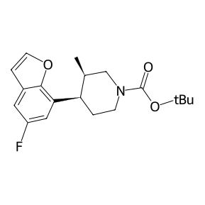 C[C@H]1CN(C(=O)OC(C)(C)C)CC[C@H]1c1cc(F)cc2ccoc12